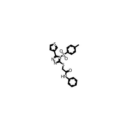 Cc1ccc(S(=O)(=O)n2c(SCC(=O)Nc3ccccc3)nnc2-c2ccsc2)cc1